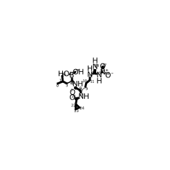 CC(C)C[C@H](NC(=O)[C@H](CCCNC(=N)N[N+](=O)[O-])NC(=O)C1CC1)B(O)O